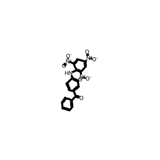 O=C(c1ccccc1)c1ccc(Nc2c([N+](=O)[O-])cc([N+](=O)[O-])cc2[N+](=O)[O-])cc1